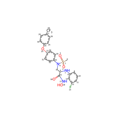 CS(=O)(=O)N(CC(Nc1cccc(F)c1)C(=O)NO)c1ccc(Oc2ccc(C(F)(F)F)cc2)cc1